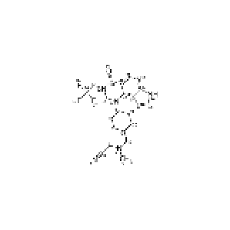 CN(CC#N)C[C@H]1CC[C@H](N2CN(CC(F)(F)F)C(=O)c3cnc4[nH]ccc4c32)CC1